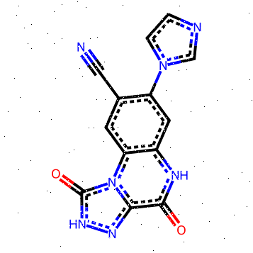 N#Cc1cc2c(cc1-n1ccnc1)[nH]c(=O)c1n[nH]c(=O)n12